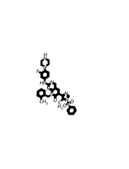 Cc1ccccc1Cn1c(=O)c(-c2ncn(S(=O)(=O)c3ccccc3)c2C)cc2cnc(Nc3ccc(N4CCNCC4)c(F)c3)nc21